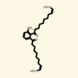 CCCCCCCC/C=C\CCCCCCCC(=O)c1cccc(N)c1C(=O)CCCCCCC/C=C\CCCCCCCC